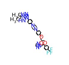 CCC(C)NC(=N)N(C=N)c1ccc(N2CCN(c3ccc(OCC4COC(Cn5nccn5)(c5ccc(C(F)(F)F)cc5)O4)cc3)CC2)cc1